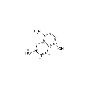 Nc1ccc(O)c2c1CN(O)N=C2